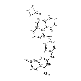 C[C@@H](NC(=O)Nc1ccc(Oc2ccnc3cc(OC4CCC4)c4c(c23)OCCO4)cc1)c1ccc(F)cc1